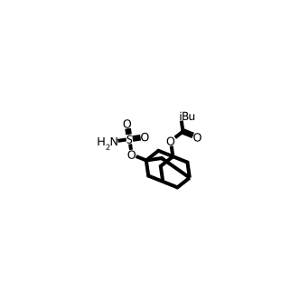 CCC(C)C(=O)OC12CC3CC(C1)CC(OS(N)(=O)=O)(C3)C2